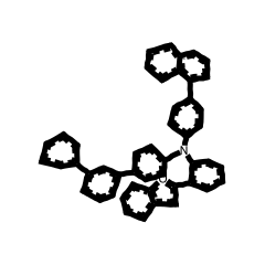 c1ccc(-c2cccc(-c3ccc(N(c4ccc(-c5cccc6ccccc56)cc4)c4ccccc4-c4cc5ccccc5o4)cc3)c2)cc1